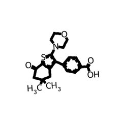 CC1(C)CC(=O)c2sc(N3CCOCC3)c(-c3ccc(C(=O)O)cc3)c2C1